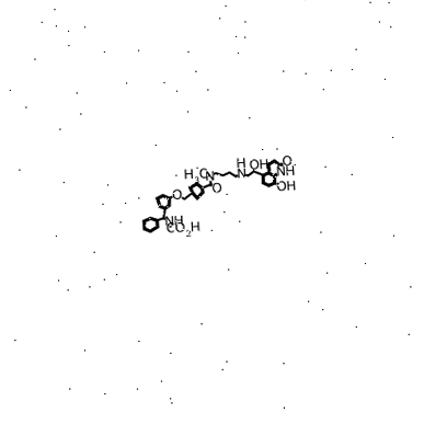 CN(CCCCNC[C@@H](O)c1ccc(O)c2[nH]c(=O)ccc12)C(=O)c1ccc(COc2cccc(C(NC(=O)O)c3ccccc3)c2)cc1